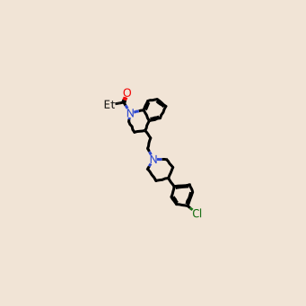 CCC(=O)N1CCC(CCN2CCC(c3ccc(Cl)cc3)CC2)c2ccccc21